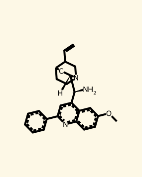 C=CC1CN2CCC1C[C@H]2[C@@H](N)c1cc(-c2ccccc2)nc2ccc(OC)cc12